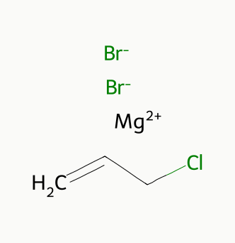 C=CCCl.[Br-].[Br-].[Mg+2]